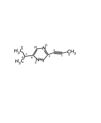 CC#Cc1cnc(C(C)C)cn1